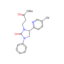 COC(=O)CCN1C(=O)N(c2ccccc2)CC1c1ccc(C#N)cn1